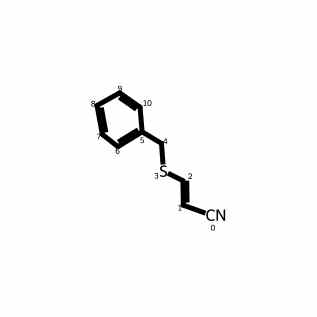 N#CC=CSCc1ccccc1